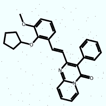 COc1cccc(C=Cc2nc3ccccn3c(=O)c2-c2ccccc2)c1OC1CCCC1